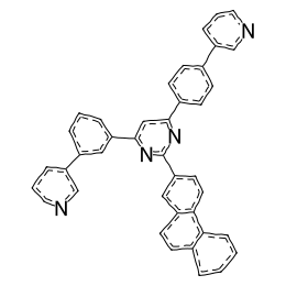 c1cncc(-c2ccc(-c3cc(-c4cccc(-c5cccnc5)c4)nc(-c4ccc5c(ccc6ccccc65)c4)n3)cc2)c1